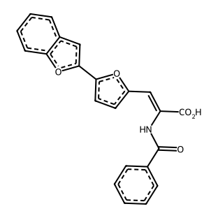 O=C(O)C(=Cc1ccc(-c2cc3ccccc3o2)o1)NC(=O)c1ccccc1